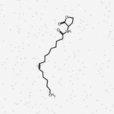 CCCCCC/C=C\CCCCCCCC(=O)NC1CCOC1=O